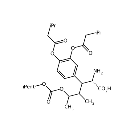 CCCC(C)OC(=O)OC(C)C(C)C(c1ccc(OC(=O)CC(C)C)c(OC(=O)CC(C)C)c1)[C@H](N)C(=O)O